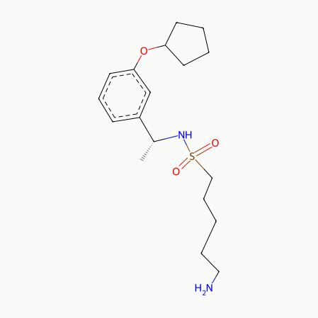 C[C@@H](NS(=O)(=O)CCCCCN)c1cccc(OC2CCCC2)c1